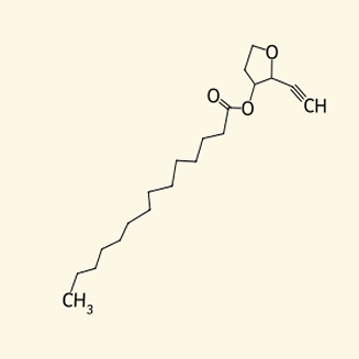 C#CC1OCCC1OC(=O)CCCCCCCCCCCCC